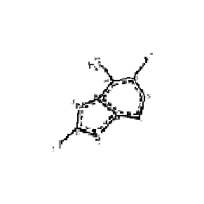 Fc1ccc2sc(I)nc2c1C(F)(F)F